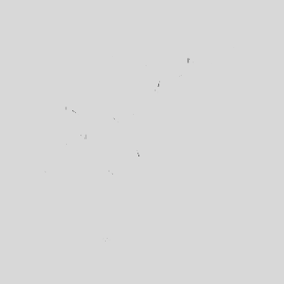 C=C[C@@H]1C[C@]1(NC(=O)[C@@H]1C[C@@H](Oc2nccc3c(OC)cccc23)CN1C(=O)[C@@H](NC(=O)OC(C)(C)C)C(C)(C)C)C(=O)NS(=O)(=O)C1(CC)CC1